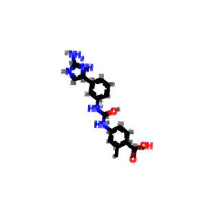 Cc1cc(NC(=O)Nc2cccc(-c3cnc(N)[nH]3)c2)ccc1C(=O)O